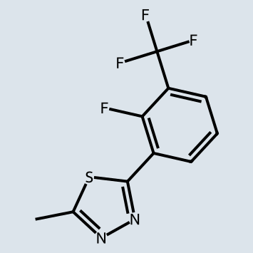 Cc1nnc(-c2cccc(C(F)(F)F)c2F)s1